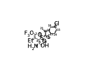 CCC(CC(F)(F)F)C([C@@H](N)O)S(=O)(=O)c1sc2ccc(Cl)cc2c1C